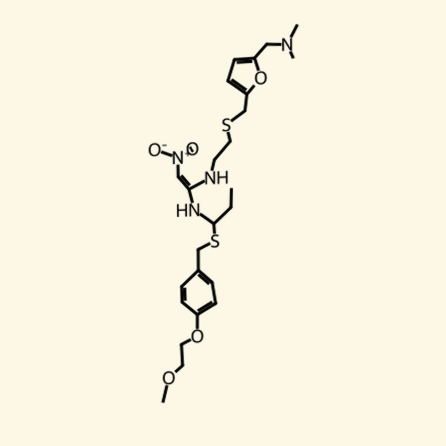 CCC(N/C(=C/[N+](=O)[O-])NCCSCc1ccc(CN(C)C)o1)SCc1ccc(OCCOC)cc1